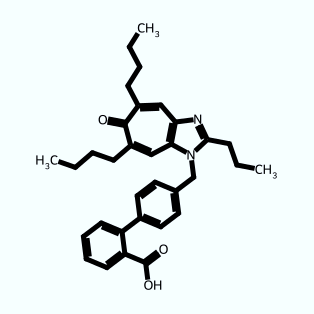 CCCCc1cc2nc(CCC)n(Cc3ccc(-c4ccccc4C(=O)O)cc3)c2cc(CCCC)c1=O